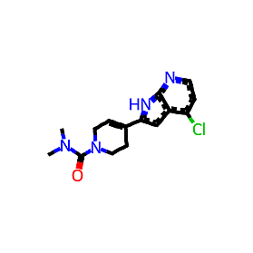 CN(C)C(=O)N1CC=C(c2cc3c(Cl)ccnc3[nH]2)CC1